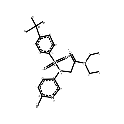 CCN(CC)C(=O)CN(c1ccc(Cl)nc1)S(=O)(=O)c1ccc(C(C)(C)C)cc1